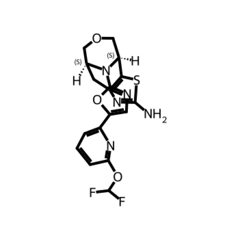 Nc1nc2c(s1)[C@@H]1COC[C@H](C2)N1c1ncc(-c2cccc(OC(F)F)n2)o1